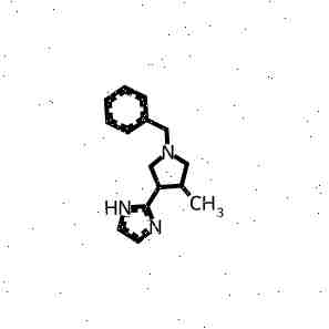 CC1CN(Cc2ccccc2)CC1c1ncc[nH]1